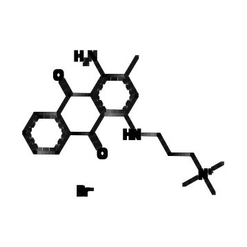 Cc1cc(NCCC[N+](C)(C)C)c2c(c1N)C(=O)c1ccccc1C2=O.[Br-]